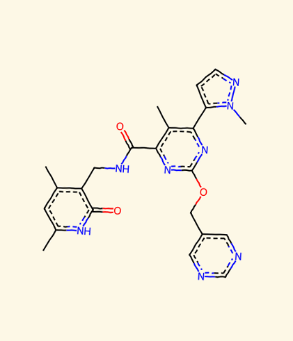 Cc1cc(C)c(CNC(=O)c2nc(OCc3cncnc3)nc(-c3ccnn3C)c2C)c(=O)[nH]1